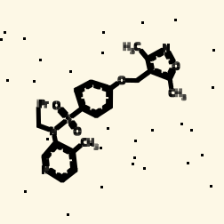 Cc1ccncc1N(CC(C)C)S(=O)(=O)c1ccc(OCc2c(C)noc2C)cc1